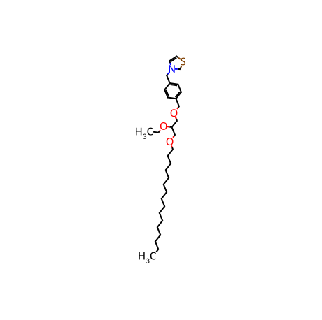 CCCCCCCCCCCCCCCCOCC(COCc1ccc(CN2C=CSC2)cc1)OCC